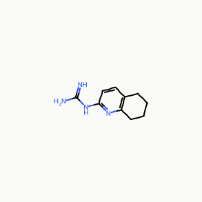 N=C(N)Nc1ccc2c(n1)CCCC2